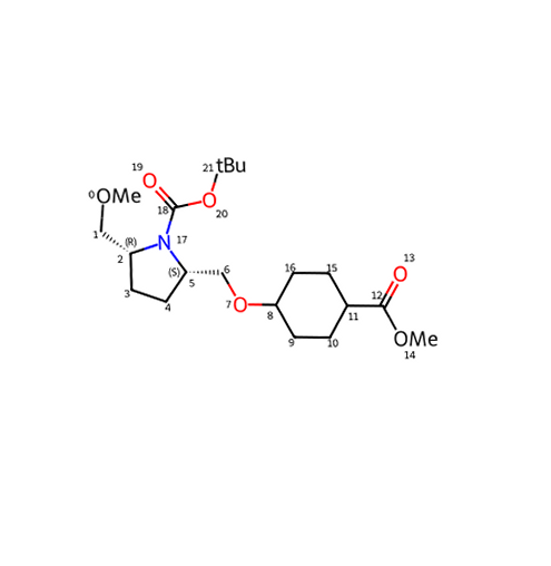 COC[C@H]1CC[C@@H](COC2CCC(C(=O)OC)CC2)N1C(=O)OC(C)(C)C